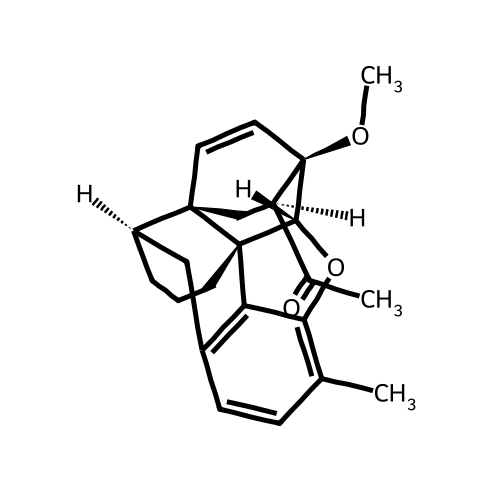 CO[C@]12C=C[C@@]3(C[C@@H]1C(C)=O)[C@@H]1CCC[C@@]34c3c(ccc(C)c3O[C@@H]24)C1